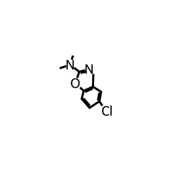 CN(C)C1=NCc2cc(Cl)ccc2O1